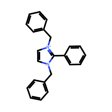 c1ccc(Cn2cc[n+](Cc3ccccc3)c2-c2ccccc2)cc1